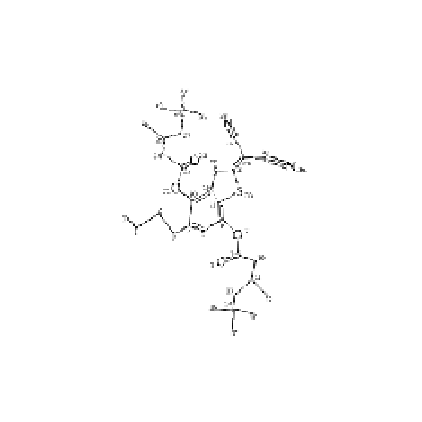 CCCCc1cc(OC(=O)CC(C)CC(C)(C)C)c2c(c1OC(=O)CC(C)CC(C)(C)C)SC(=C(C#N)C#N)S2